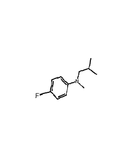 CC(C)CN(C)c1ccc(F)cc1